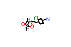 C[C@@H]1C(=O)C[C@H]2C[C@@H]1OO[C@]2(C)C=Cc1ccc(C#N)cc1Cl